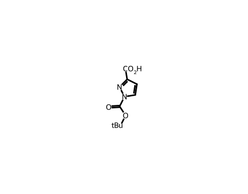 CC(C)(C)OC(=O)n1ccc(C(=O)O)n1